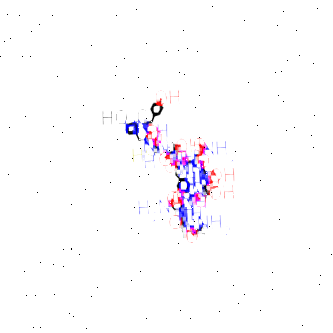 CC(C)[C@H](NC(=O)[C@H](C)N)C(=O)N[C@@H](CC(N)=O)C(=O)NCC(=O)N[C@H](C(=O)N[C@@H](CO)C(=O)N[C@@H](CCC(N)=O)C(=O)N[C@@H](Cc1ccccc1)C(=O)N[C@H](C(=O)N[C@@H](CS)C(=O)N[C@@H](Cc1ccccc1)C(=O)N[C@@H](Cc1ccc(O)cc1)C(=O)O)[C@@H](C)O)[C@@H](C)O